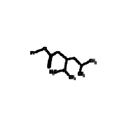 CC(C)OC(=O)CC(CN(C)C)N(C)C